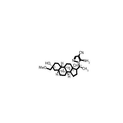 COC[C@@]1(O)CC[C@H]2[C@H](CC[C@@H]3[C@@H]2CC[C@]2(C)C([C@H](C)n4ncc(C#N)c4N)CC[C@@H]32)C1